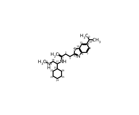 C=C(CCc1nc2ccc(C(C)C)cc2s1)NC(CNC)C1CCCCC1